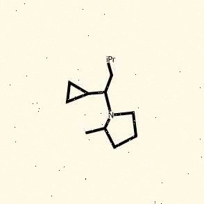 CC(C)CC(C1CC1)N1CCCC1C